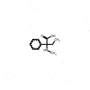 CCC(NC)(C(=O)O)c1ccccc1